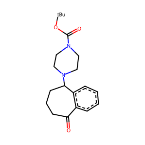 CC(C)(C)OC(=O)N1CCN(C2CCCC(=O)c3ccccc32)CC1